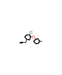 C#CCc1ccc(Cl)c(Oc2cccc(C)c2)c1